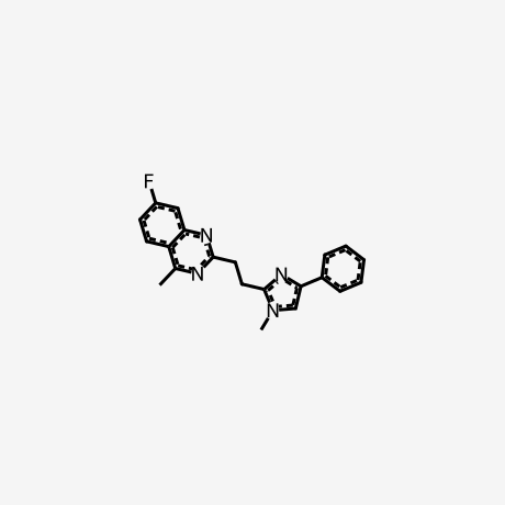 Cc1nc(CCc2nc(-c3ccccc3)cn2C)nc2cc(F)ccc12